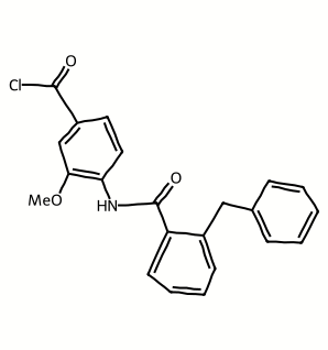 COc1cc(C(=O)Cl)ccc1NC(=O)c1ccccc1Cc1ccccc1